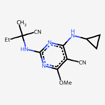 CCC(C)(C#N)Nc1nc(NC2CC2)c(C#N)c(OC)n1